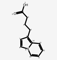 O=C(O)CCCc1ccn2ccccc12